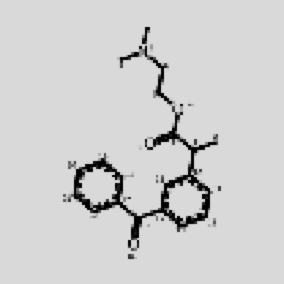 CC(C(=O)OCCN(C)C)c1cccc(C(=O)c2ccccc2)c1